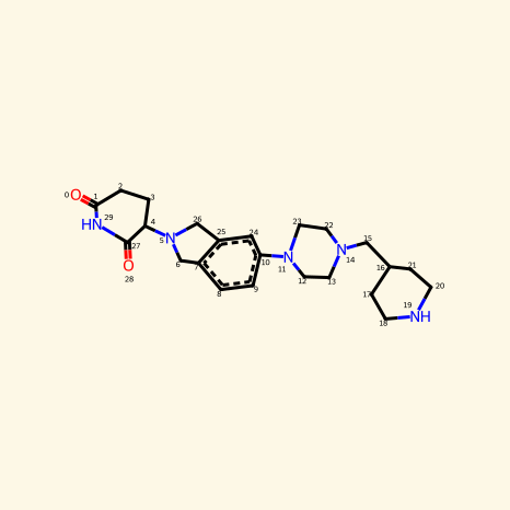 O=C1CCC(N2Cc3ccc(N4CCN(CC5CCNCC5)CC4)cc3C2)C(=O)N1